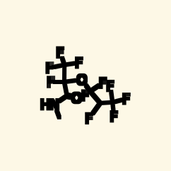 CNC(=O)C(F)(OC(F)(F)C(F)C(F)(F)F)C(F)(F)F